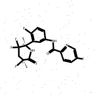 C[C@]1(F)CC(F)(F)[C@@](C)(c2cc(NC(=O)c3ccc(F)cn3)ccc2F)NC1=S